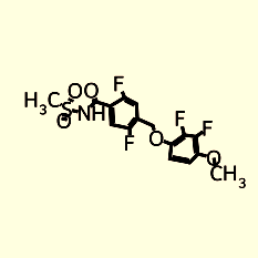 COc1ccc(OCc2cc(F)c(C(=O)NS(C)(=O)=O)cc2F)c(F)c1F